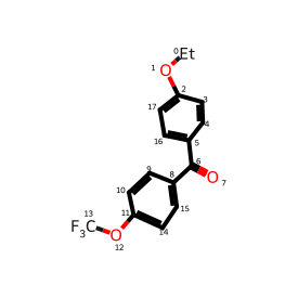 CCOc1ccc(C(=O)c2ccc(OC(F)(F)F)cc2)cc1